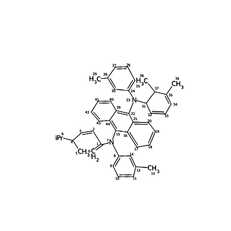 C=C(/C=C\C(C)C(C)C)N(c1cccc(C)c1)c1c2ccccc2c(N(c2cccc(C)c2)C2C=CC=C(C)C2C)c2ccccc12